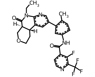 CCN1C(=O)[C@@H]2COCC[C@H]2c2cc(-c3cc(NC(=O)c4ccnc(C(F)(F)F)c4F)ccc3C)cnc21